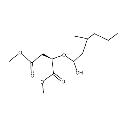 CCCC(C)CC(O)O[C@H](CC(=O)OC)C(=O)OC